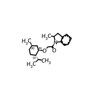 CC(C)[C@@H]1CC[C@@H](C)C[C@H]1OCC(=O)N1c2ccccc2CC1C